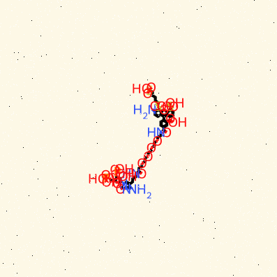 Nc1ccc2c(-c3ccc(C(=O)NCCOCCOCCOCCOCCC(=O)NCCCc4cn([C@@H]5O[C@H](COP(=O)(O)O)C(OP(=O)(O)O)[C@@H]5O)c(=O)nc4N)cc3C(=O)O)c3cccc(S(=O)(=O)O)c3[o+]c2c1S(=O)(=O)CCCCCS(=O)(=O)O